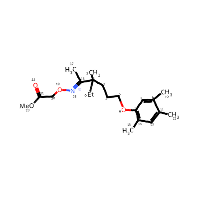 CCC(C)(CCCOc1cc(C)c(C)cc1C)/C(C)=N/OCC(=O)OC